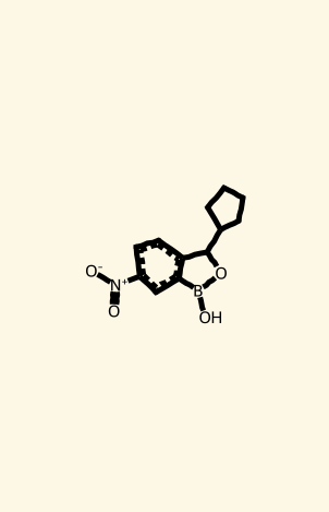 O=[N+]([O-])c1ccc2c(c1)B(O)OC2C1CCCC1